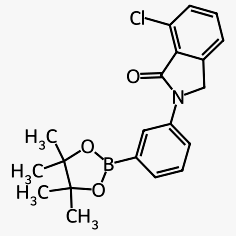 CC1(C)OB(c2cccc(N3Cc4cccc(Cl)c4C3=O)c2)OC1(C)C